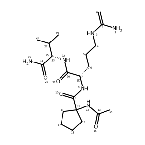 C=C(N)NCCC[C@H](NC(=O)C1(NC(C)=O)CCCC1)C(=O)N[C@H](C(N)=O)C(C)C